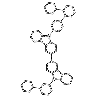 c1ccc(-c2cccc(-n3c4ccccc4c4cc(-c5ccc6c(c5)c5ccccc5n6-c5ccc(-c6ccccc6-c6ccccc6)cc5)ccc43)c2)cc1